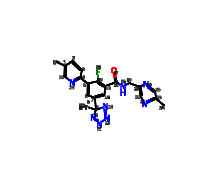 Cc1ccc(-c2cc(C3(C(C)C)N=NN=N3)cc(C(=O)NCc3cnc(C)cn3)c2F)nc1